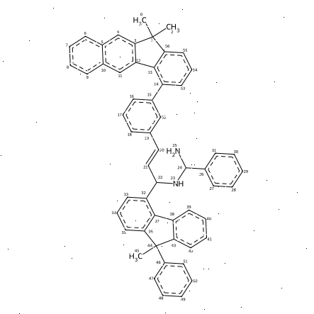 CC1(C)c2cc3ccccc3cc2-c2c(-c3cccc(/C=C/C(NC(N)c4ccccc4)c4cccc5c4-c4ccccc4C5(C)c4ccccc4)c3)cccc21